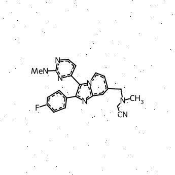 CNc1nccc(-c2c(-c3ccc(F)cc3)nc3cc(CN(C)CC#N)ccn23)n1